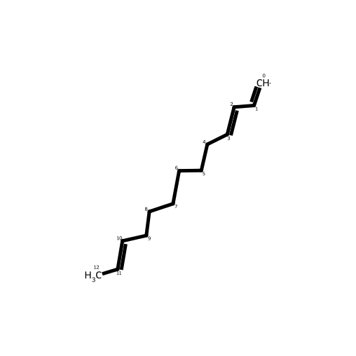 [CH]=CC=CCCCCCCC=CC